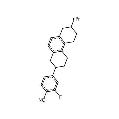 CCCC1CCc2c(ccc3c2CCC(c2ccc(C#N)c(F)c2)C3)C1